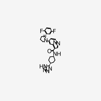 O=C(N[C@H]1CC[C@H](c2nnn[nH]2)CC1)c1cnn2ccc(N3CCC[C@@H]3c3cc(F)ccc3F)cc12